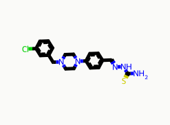 NC(=S)NN=Cc1ccc(N2CCN(Cc3cccc(Cl)c3)CC2)cc1